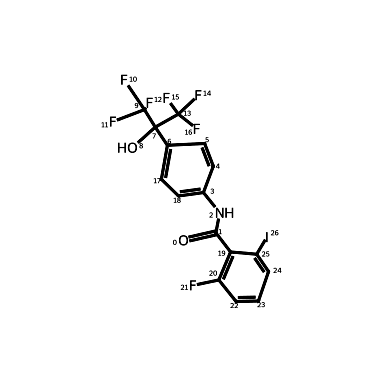 O=C(Nc1ccc(C(O)(C(F)(F)F)C(F)(F)F)cc1)c1c(F)cccc1I